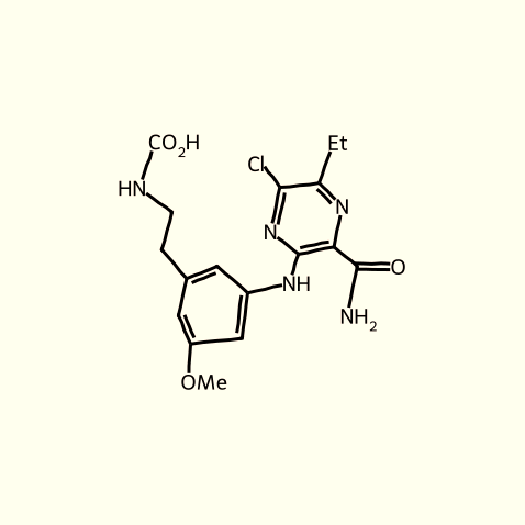 CCc1nc(C(N)=O)c(Nc2cc(CCNC(=O)O)cc(OC)c2)nc1Cl